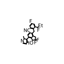 CCC(F)c1cc(F)cc(C#N)c1Cc1ccc(-c2cccnc2C)c2c1CC(F)(F)C2O